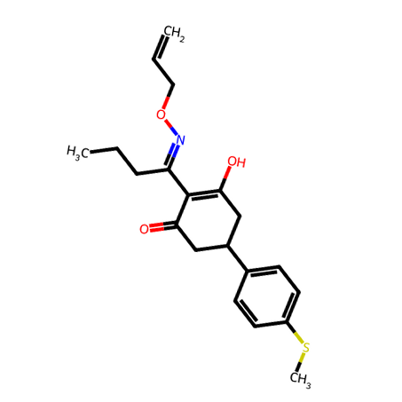 C=CCO/N=C(\CCC)C1=C(O)CC(c2ccc(SC)cc2)CC1=O